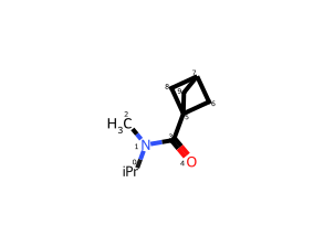 CC(C)N(C)C(=O)C12CC(C1)C2